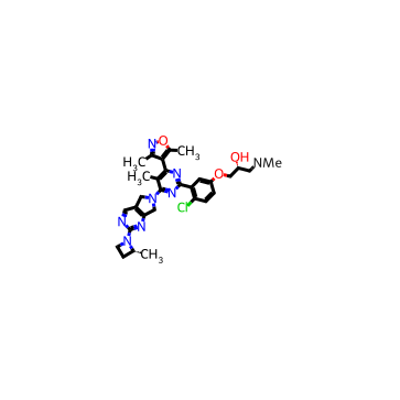 CNC[C@@H](O)COc1ccc(Cl)c(-c2nc(-c3c(C)noc3C)c(C)c(N3Cc4cnc(N5CC[C@H]5C)nc4C3)n2)c1